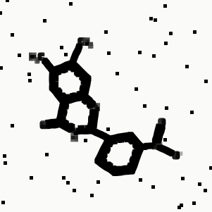 Cc1cc2nc(-c3cccc([N+](=O)[O-])c3)[nH]c(=O)c2cc1C